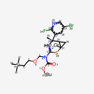 CC(C)(C)OC(=O)N(COCC[Si](C)(C)C)C1=N[C@](C)(c2cc(Br)cnc2F)C2CC2(C(=O)O)S1